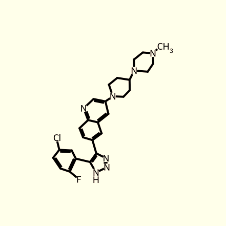 CN1CCN(C2CCN(c3cnc4ccc(-c5nn[nH]c5-c5cc(Cl)ccc5F)cc4c3)CC2)CC1